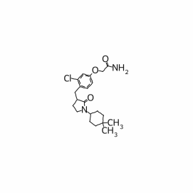 CC1(C)CCC(N2CCC(Cc3ccc(OCC(N)=O)cc3Cl)C2=O)CC1